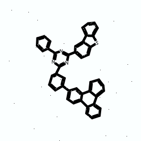 c1ccc(-c2nc(-c3cccc(-c4ccc5c6ccccc6c6ccccc6c5c4)c3)nc(-c3ccc4sc5ccccc5c4c3)n2)cc1